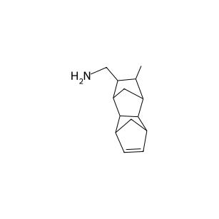 CC1C(CN)C2CC1C1C3C=CC(C3)C21